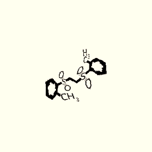 Cc1ccccc1S(=O)(=O)CCS(=O)(=O)c1ccccc1C